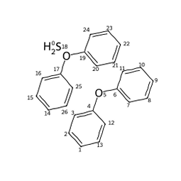 S.c1ccc(Oc2ccccc2)cc1.c1ccc(Oc2ccccc2)cc1